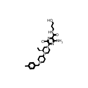 CC[C@H]1CN(c2nc(N)c(C(=O)NCCCO)nc2Cl)CCN1C1CCN(Cc2ccc(C)cc2)CC1